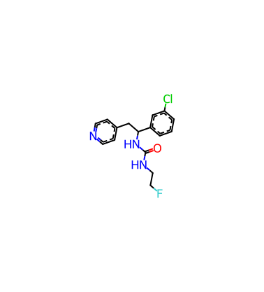 O=C(NCCF)NC(Cc1ccncc1)c1cccc(Cl)c1